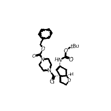 CC(C)(C)OC(=O)N[C@@H]1C[C@H]2OCC[C@@]2(C(=O)N2CCN(C(=O)OCc3ccccc3)CC2)C1